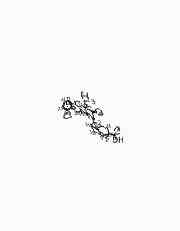 CC1(C)C(=O)N(C2C3CC4CC2CC(C(=O)O)(C4)C3)N1Cc1ccccc1Cl